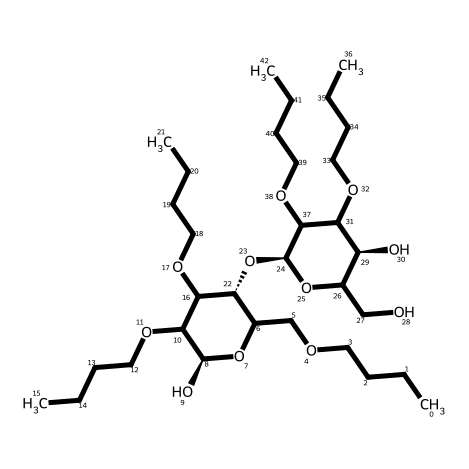 CCCCOCC1O[C@@H](O)C(OCCCC)C(OCCCC)[C@@H]1O[C@@H]1OC(CO)[C@H](O)C(OCCCC)C1OCCCC